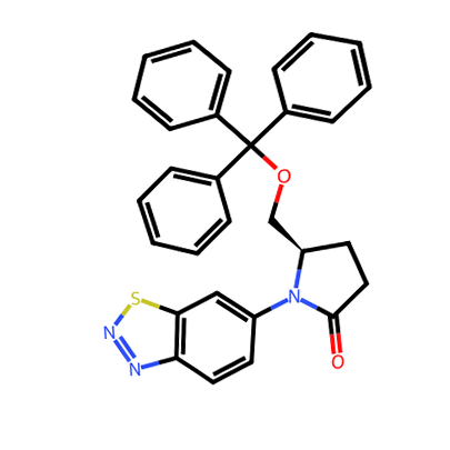 O=C1CC[C@H](COC(c2ccccc2)(c2ccccc2)c2ccccc2)N1c1ccc2nnsc2c1